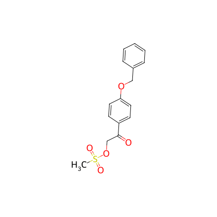 CS(=O)(=O)OCC(=O)c1ccc(OCc2ccccc2)cc1